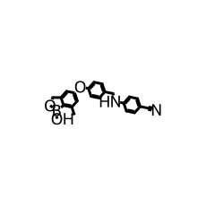 Cc1cc(Oc2ccc(CNc3ccc(C#N)cc3)cc2)cc2c1B(O)OC2